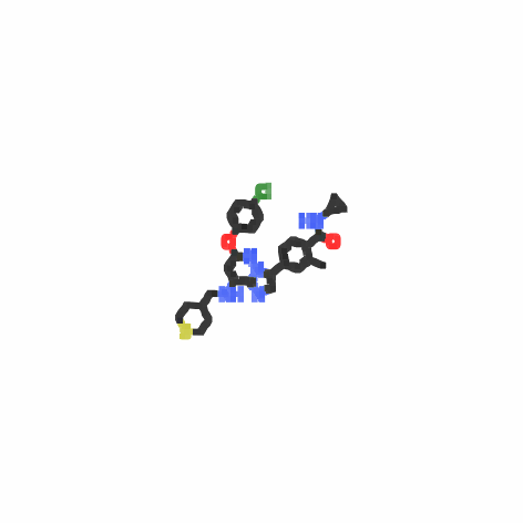 Cc1cc(-c2cnc3c(NCC4CCSCC4)cc(Oc4ccc(Cl)cc4)nn23)ccc1C(=O)NC1CC1